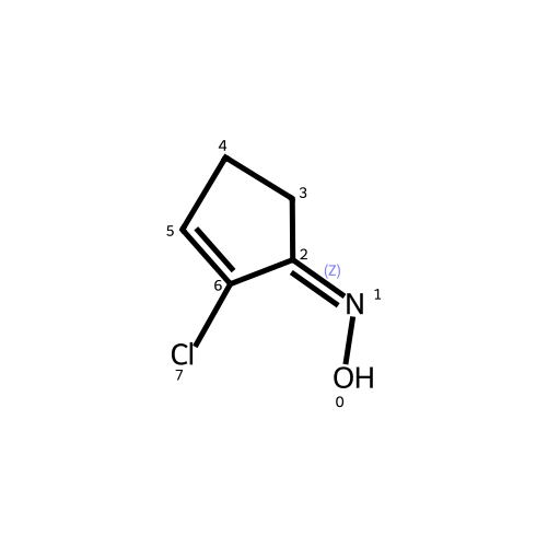 O/N=C1/CCC=C1Cl